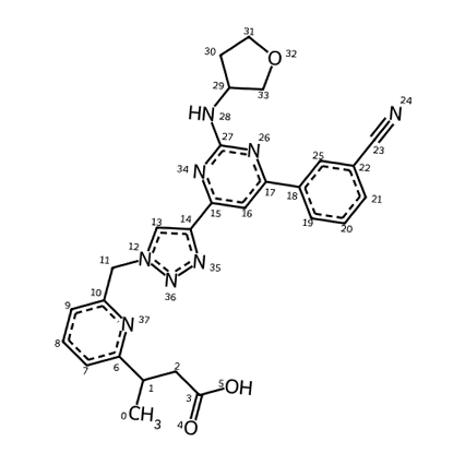 CC(CC(=O)O)c1cccc(Cn2cc(-c3cc(-c4cccc(C#N)c4)nc(NC4CCOC4)n3)nn2)n1